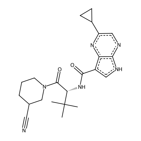 CC(C)(C)[C@@H](NC(=O)c1c[nH]c2ncc(C3CC3)nc12)C(=O)N1CCCC(C#N)C1